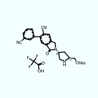 COC[C@@H]1C[C@@H](N2Cc3cc(C#N)c(-c4cccc(C#N)c4)cc3C2=O)CN1.O=C(O)C(F)(F)F